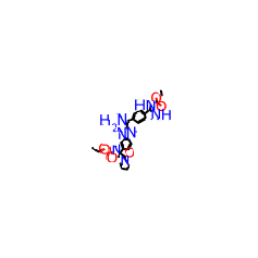 CCOC(=O)NC(=N)c1ccc(C(N)c2nc3cc(C(C)(C(=O)N4CCCC4)N(C)C(=O)OCC)ccc3n2C)cc1